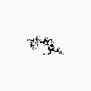 CC(=O)OCc1cn(C2OC(COP(=O)(O)OP(=O)(O)OP(=O)(O)O)C(O)C2O)c(=O)nc1NC(=O)C(F)(F)F